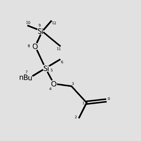 C=C(C)CO[Si](C)(CCCC)O[Si](C)(C)C